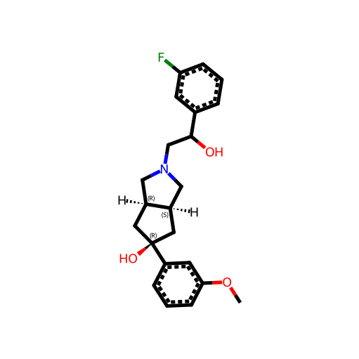 COc1cccc([C@]2(O)C[C@H]3CN(CC(O)c4cccc(F)c4)C[C@H]3C2)c1